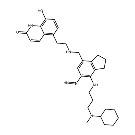 CN(CCCNc1c(N=N)cc(CNCCc2ccc(O)c3[nH]c(=O)ccc23)c2c1CCC2)C1CCCCC1